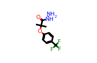 CC(C)(Oc1ccc(C(F)(F)F)cc1)C(=O)NN